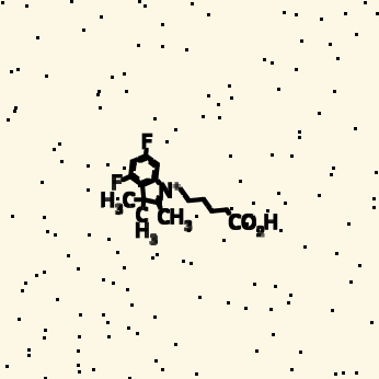 CC1=[N+](CCCCCC(=O)O)c2cc(F)cc(F)c2C1(C)C